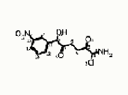 NC(Cl)C(=O)CCC(=O)C(O)c1cccc([N+](=O)[O-])c1